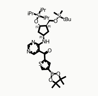 CC(C)[Si](O[C@H]1C[C@H](Nc2ncncc2C(=O)c2cc(B3OC(C)(C)C(C)(C)O3)cs2)C[C@@H]1CO[Si](C)(C)C(C)(C)C)(C(C)C)C(C)C